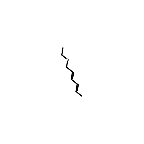 C/C=C/C=C/COCC